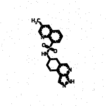 Cc1cnc2c(S(=O)(=O)NC3CCc4c(cnc5[nH]ncc45)C3)cccc2c1